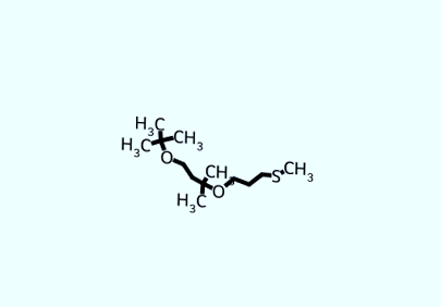 CSCCCOC(C)(C)CCOC(C)(C)C